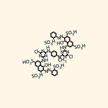 CN(c1ccc(Nc2nc(Cl)nc(Nc3cc(S(=O)(=O)O)cc4cc(S(=O)(=O)O)c(N=Nc5ccccc5S(=O)(=O)O)c(O)c34)n2)cc1)c1nc(Cl)nc(Nc2cc(S(=O)(=O)O)cc3cc(S(=O)(=O)O)c(N=Nc4ccccc4S(=O)(=O)O)c(O)c23)n1